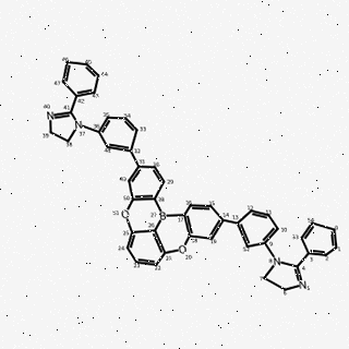 c1ccc(C2=NCCN2c2cccc(-c3ccc4c(c3)Oc3cccc5c3B4c3ccc(-c4cccc(N6CCN=C6c6ccccc6)c4)cc3O5)c2)cc1